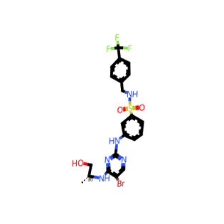 C[C@H](CO)Nc1nc(Nc2cccc(S(=O)(=O)NCc3ccc(C(F)(F)F)cc3)c2)ncc1Br